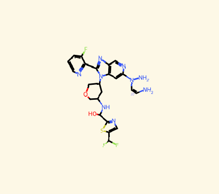 N/C=C\N(N)c1cc2c(cn1)nc(-c1ncccc1F)n2C1COCC(NC(O)c2ncc(C(F)F)s2)C1